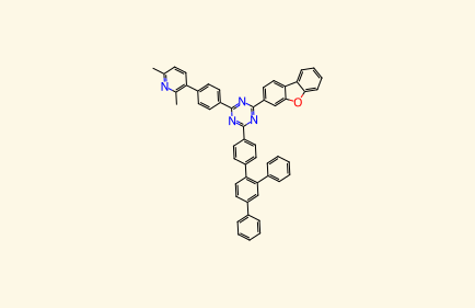 Cc1ccc(-c2ccc(-c3nc(-c4ccc(-c5ccc(-c6ccccc6)cc5-c5ccccc5)cc4)nc(-c4ccc5c(c4)oc4ccccc45)n3)cc2)c(C)n1